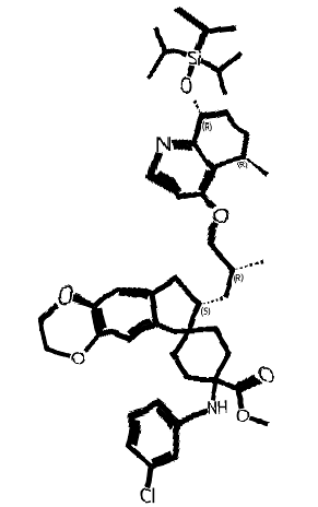 COC(=O)C1(Nc2cccc(Cl)c2)CCC2(CC1)c1cc3c(cc1C[C@@H]2C[C@@H](C)COc1ccnc2c1[C@H](C)CC[C@H]2O[Si](C(C)C)(C(C)C)C(C)C)OCCO3